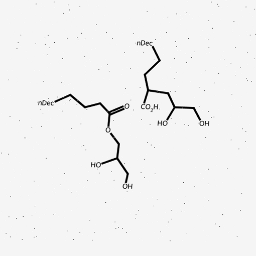 CCCCCCCCCCCCC(CC(O)CO)C(=O)O.CCCCCCCCCCCCCC(=O)OCC(O)CO